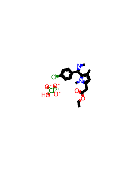 CCOC(=O)Cc1cc(C)c(C(=NC)c2ccc(Cl)cc2)n1C.[O-][Cl+3]([O-])([O-])O